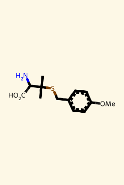 COc1ccc(CSC(C)(C)C(N)C(=O)O)cc1